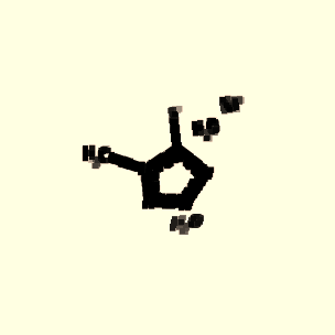 Cn1nnnc1[S-].O.O.[Na+]